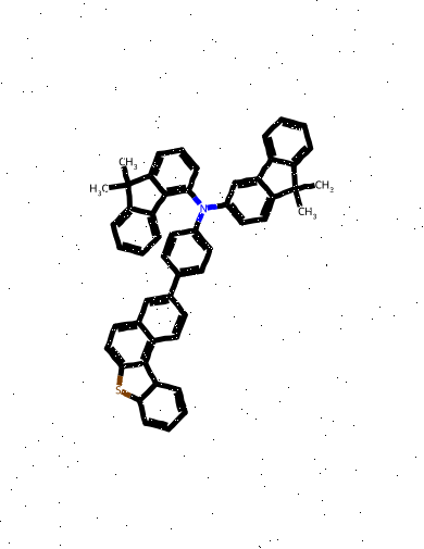 CC1(C)c2ccccc2-c2cc(N(c3ccc(-c4ccc5c6c(ccc5c4)SC4C=CC=CC64)cc3)c3cccc4c3-c3ccccc3C4(C)C)ccc21